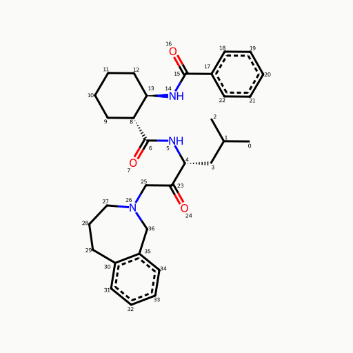 CC(C)C[C@@H](NC(=O)[C@@H]1CCCC[C@H]1NC(=O)c1ccccc1)C(=O)CN1CCCc2ccccc2C1